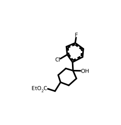 CCOC(=O)CC1CCC(O)(c2ccc(F)cc2Cl)CC1